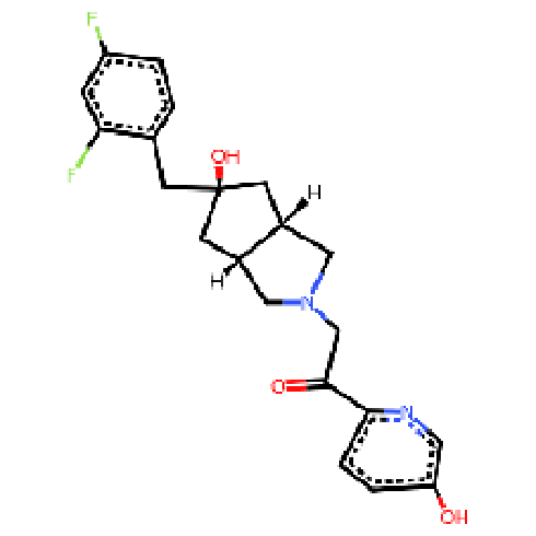 O=C(CN1C[C@@H]2C[C@](O)(Cc3ccc(F)cc3F)C[C@@H]2C1)c1ccc(O)cn1